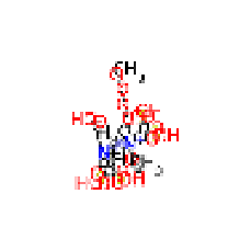 COCCOCCOCCOCCC1(C)C(/C=C/C=C2/N(CCCCCC(=O)O)c3ccc4c(S(=O)(=O)O)cc(S(=O)(=O)O)cc4c3C2(C)C)=[N+](CCOC)c2ccc3c(S(=O)(=O)O)cc(S(=O)(=O)O)cc3c21